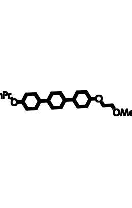 CCCOC1CCC(C2CCC(C3CCC(OCCOC)CC3)CC2)CC1